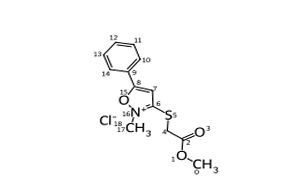 COC(=O)CSc1cc(-c2ccccc2)o[n+]1C.[Cl-]